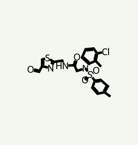 Cc1ccc(S(=O)(=O)N(CC(=O)NCc2nc(C=O)cs2)c2cccc(Cl)c2C)cc1